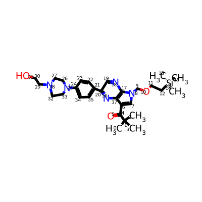 CC(C)(C)C(=O)c1cn(COCC[Si](C)(C)C)c2ncc(-c3ccc(N4CCN(CCO)CC4)cc3)nc12